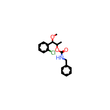 COC(c1ccccc1Cl)C(C)OC(=O)NCc1ccccc1